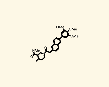 CNC(=O)C1CN(C(=O)Cc2ccc3cc(-c4cc(OC)c(OC)c(OC)c4)ccc3c2)CCC1C